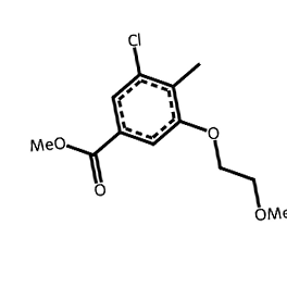 COCCOc1cc(C(=O)OC)cc(Cl)c1C